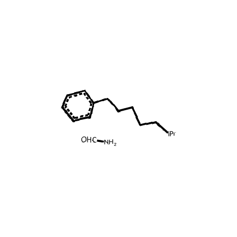 CC(C)CCCCCc1ccccc1.NC=O